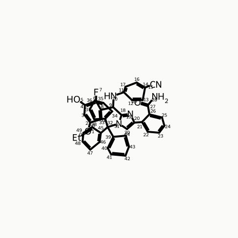 CCOc1cc(O)c(F)c(C(Nc2ccc(C#N)cc2)c2nc(-c3ccccc3C(N)=O)cn2C(c2ccccc2)(c2ccccc2)c2ccccc2)c1